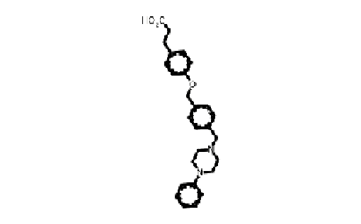 O=C(O)CCc1ccc(OCc2ccc(CN3CCN(c4ccccc4)CC3)cc2)cc1